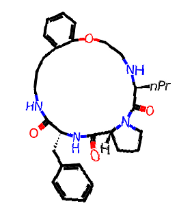 CCC[C@@H]1NCCOc2ccccc2CCCNC(=O)[C@@H](Cc2ccccc2)NC(=O)[C@H]2CCCN2C1=O